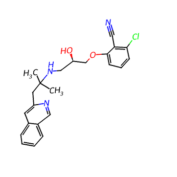 CC(C)(Cc1cc2ccccc2cn1)NC[C@@H](O)COc1cccc(Cl)c1C#N